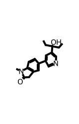 CCC(O)(CC)c1cncc(-c2ccc3c(c2)CC(=O)N3C)c1